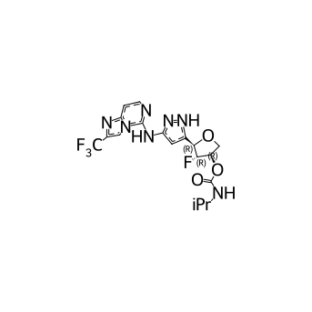 CC(C)NC(=O)O[C@@H]1CO[C@H](c2cc(Nc3nccc4nc(C(F)(F)F)cn34)n[nH]2)[C@H]1F